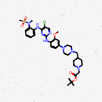 COc1cc(N2CCN(CC3CCN(CC(=O)OC(C)(C)C)CC3)CC2)ccc1Nc1ncc(Cl)c(Nc2ccccc2N(C)S(C)(=O)=O)n1